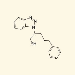 SCC(CCCc1ccccc1)n1nnc2ccccc21